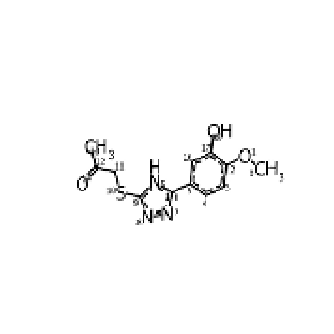 COc1ccc(-c2nnc(SCC(C)=O)[nH]2)cc1O